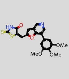 COc1cc(-c2cncc3cc(C=C4SC(=S)NC4=O)oc23)cc(OC)c1OC